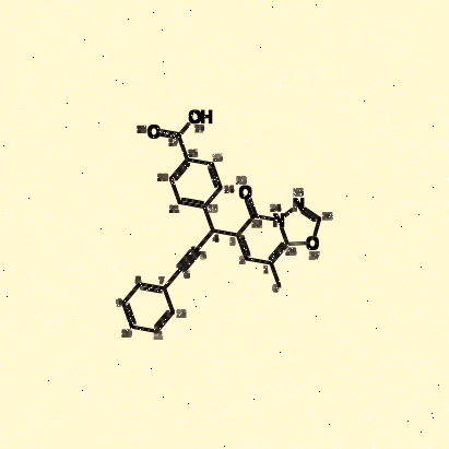 Cc1cc(C(C#Cc2ccccc2)c2ccc(C(=O)O)cc2)c(=O)n2ncoc12